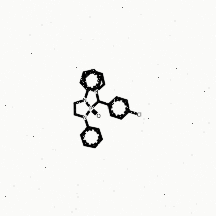 O=P1(C(c2ccc(Cl)cc2)N2CCSCC2)N(c2ccccc2)CCN1c1ccccc1